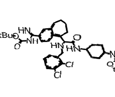 CC(C)(C)OC(=O)NC(=N)c1ccc2c(c1)=CCCCC=2C(NCc1cccc(Cl)c1Cl)C(=O)NC1CCC(NC(=O)OC(C)(C)C)CC1